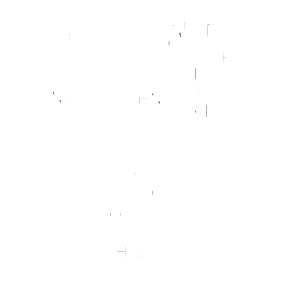 CCC(=O)OC1(c2ccc(Cl)c(NC(=O)[C@H](c3ccc(Cl)cc3)[C@@H](C)C(F)(F)F)c2)CC1.[NaH]